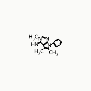 Cc1c(C)n(-c2ccccc2)c2ncn(C)c(=N)c12